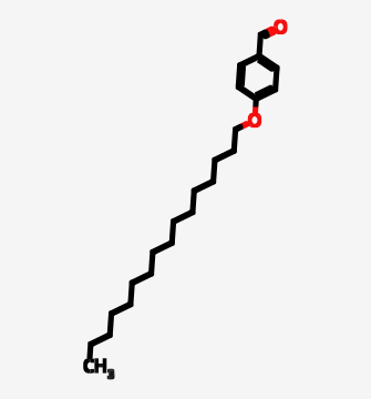 CCCCCCCCCCCCCCCCOc1ccc(C=O)cc1